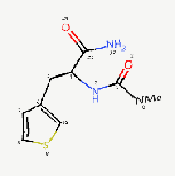 CNC(=O)NC(Cc1ccsc1)C(N)=O